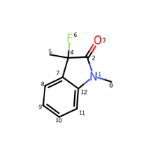 CN1C(=O)C(C)(F)c2ccccc21